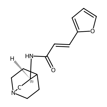 O=C(C=Cc1ccco1)N[C@@H]1CN2CCC1CC2